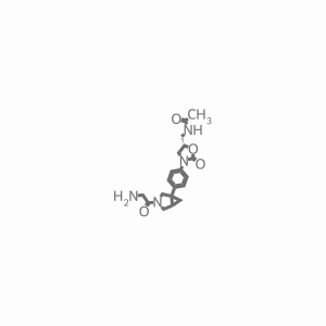 CC(=O)NC[C@H]1CN(c2ccc(C34CC3CN(C(=O)CN)C4)cc2)C(=O)O1